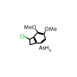 COc1ccc2c(c1OC)C(Cl)C2.[AsH3]